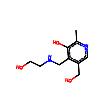 Cc1ncc(CO)c(CNCCO)c1O